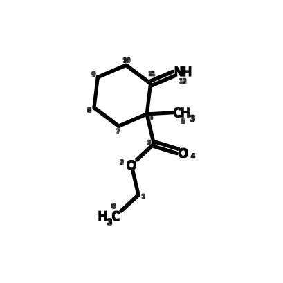 CCOC(=O)C1(C)CCCCC1=N